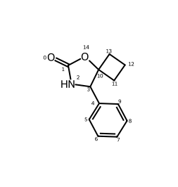 O=C1NC(c2ccccc2)C2(CCC2)O1